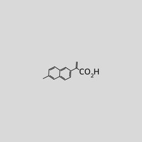 C=C(C(=O)O)c1ccc2cc(C)ccc2c1